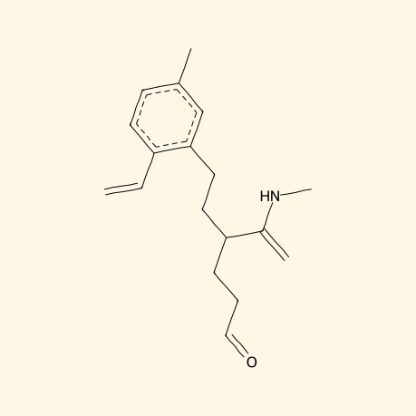 C=Cc1ccc(C)cc1CCC(CCC=O)C(=C)NC